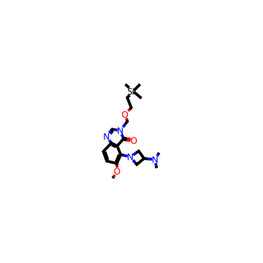 COc1ccc2ncn(COCC[Si](C)(C)C)c(=O)c2c1N1CC(N(C)C)C1